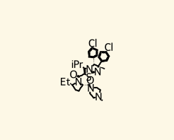 CC[C@@H]1CC[C@@H](C(=O)N2CCN(C)CC2)N1C(=O)C1=C(C(C)C)N2C(=N[C@@](C)(c3ccc(Cl)cc3)[C@H]2c2ccc(Cl)cc2)S1